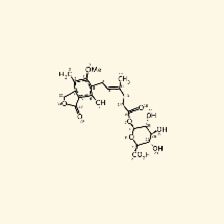 COc1c(C)c2c(c(O)c1C/C=C(\C)CCC(=O)O[C@@H]1O[C@H](C(=O)O)[C@@H](O)[C@H](O)[C@H]1O)C(=O)OC2